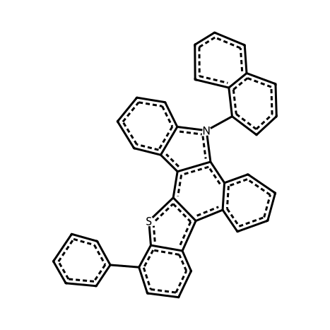 c1ccc(-c2cccc3c2sc2c3c3ccccc3c3c2c2ccccc2n3-c2cccc3ccccc23)cc1